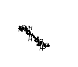 CCOC(=O)CNC(=O)N(c1ccc(C#CCNc2ccc(C(=N)NC(=O)OC(C)(C)C)cc2)c(C)c1)C(C)C